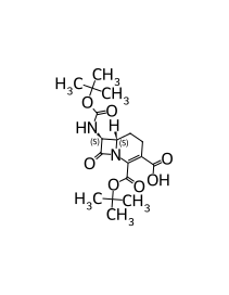 CC(C)(C)OC(=O)N[C@@H]1C(=O)N2C(C(=O)OC(C)(C)C)=C(C(=O)O)CC[C@@H]12